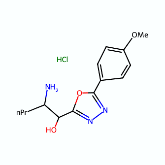 CCCC(N)C(O)c1nnc(-c2ccc(OC)cc2)o1.Cl